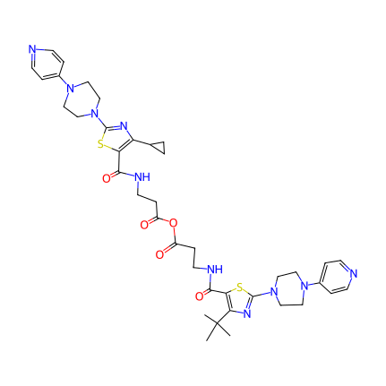 CC(C)(C)c1nc(N2CCN(c3ccncc3)CC2)sc1C(=O)NCCC(=O)OC(=O)CCNC(=O)c1sc(N2CCN(c3ccncc3)CC2)nc1C1CC1